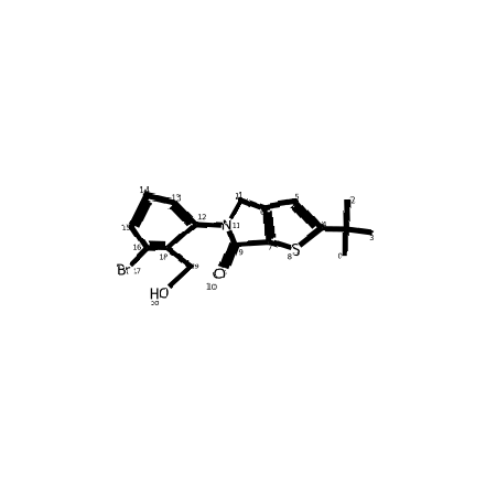 CC(C)(C)c1cc2c(s1)C(=O)N(c1cccc(Br)c1CO)C2